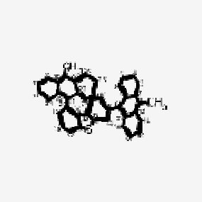 Cc1c2ccccc2c(-c2ccc3c(c2)sc2cccc(-c4c5ccccc5c(C)c5ccccc45)c23)c2ccccc12